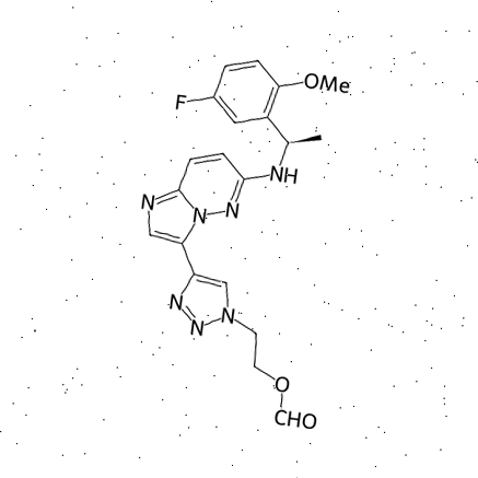 COc1ccc(F)cc1[C@@H](C)Nc1ccc2ncc(-c3cn(CCOC=O)nn3)n2n1